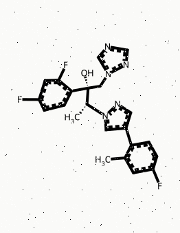 Cc1cc(F)ccc1-c1cnn([C@H](C)[C@](O)(Cn2cncn2)c2ccc(F)cc2F)c1